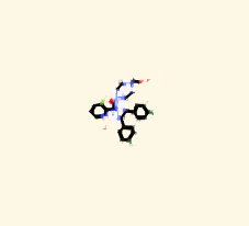 COc1cccc(F)c1C1(C(=O)N2CCN(CCO)CC2)NC(c2ccc(Cl)cc2)C(c2ccc(Cl)cc2)N1